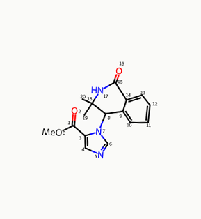 COC(=O)c1cncn1C1c2ccccc2C(=O)NC1(C)C